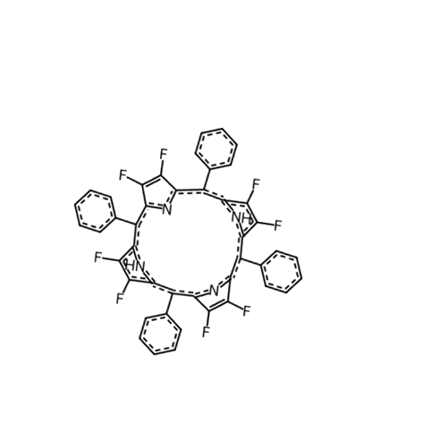 FC1=C(F)c2nc1c(-c1ccccc1)c1[nH]c(c(F)c1F)c(-c1ccccc1)c1nc(c(-c3ccccc3)c3[nH]c(c(F)c3F)c2-c2ccccc2)C(F)=C1F